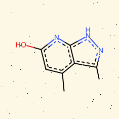 Cc1cc(O)nc2[nH]nc(C)c12